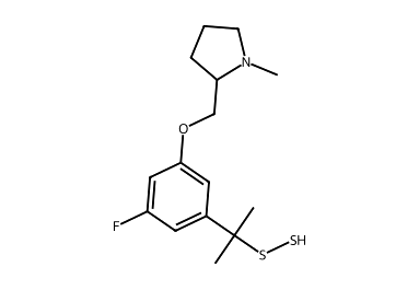 CN1CCCC1COc1cc(F)cc(C(C)(C)SS)c1